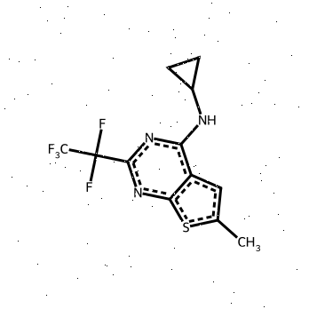 Cc1cc2c(NC3CC3)nc(C(F)(F)C(F)(F)F)nc2s1